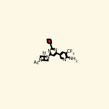 CC(=O)N1C[C@@H]2C1CN2c1cc(-c2cnc(N)c(C(F)(F)F)c2)nc(N2CC3CC2C3)n1